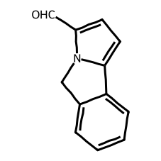 O=Cc1ccc2n1Cc1ccccc1-2